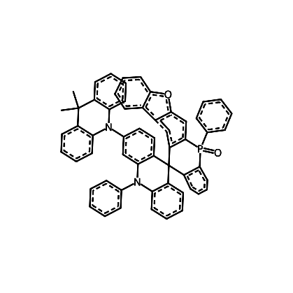 CC1(C)c2ccccc2N(c2ccc3c(c2)N(c2ccccc2)c2ccccc2C32c3ccccc3P(=O)(c3ccccc3)c3cc4oc5ccccc5c4cc32)c2ccccc21